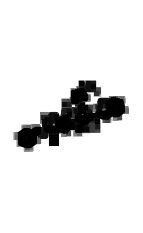 N[C@@H]1CCN(c2nc(N[C@H](CO)Cc3ccccc3)c3ncn([C@@H]4C[C@H](NC(=O)OCc5ccccc5)[C@@H](O)[C@H]4O)c3n2)C1